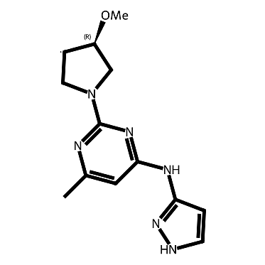 CO[C@@H]1[CH]CN(c2nc(C)cc(Nc3cc[nH]n3)n2)C1